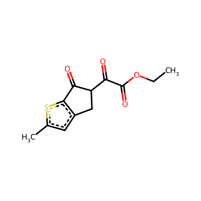 CCOC(=O)C(=O)C1Cc2cc(C)sc2C1=O